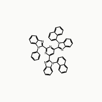 c1ccc(-n2c(-c3nc(-c4nc5ccccc5n4-c4cccc5ccccc45)cc(-c4nc5ccccc5n4-c4cccc5ccccc45)n3)nc3ccccc32)cc1